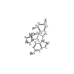 C[C@@H](n1ncc2cc(Br)ccc21)C(O)(Cn1cncn1)c1ccc(F)cc1F